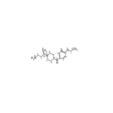 CCOc1ccc(NC2CCN([C@H](C)CCN)CC2)cn1